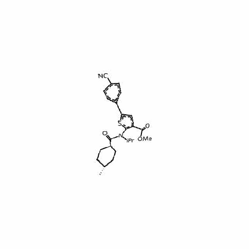 COC(=O)c1cc(-c2ccc(C#N)cc2)sc1N(C(=O)[C@H]1CC[C@H](C)CC1)C(C)C